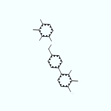 CCCCc1ccc(-c2ccc(COc3ccc(CC)c(F)c3F)cc2)c(F)c1F